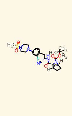 CC(C)(C)OC(=O)N1[C@@H]2CC[C@@H](C2)[C@H]1C(=O)N[C@H](C#N)Cc1ccc(N2CCN(S(C)(=O)=O)CC2)cc1F